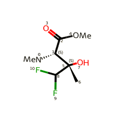 CN[C@H](C(=O)OC)[C@](C)(O)C(F)F